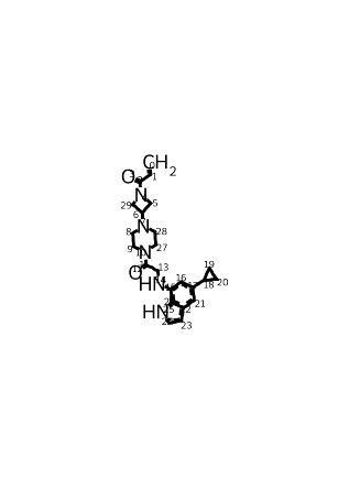 C=CC(=O)N1CC(N2CCN(C(=O)CNc3cc(C4CC4)cc4cc[nH]c34)CC2)C1